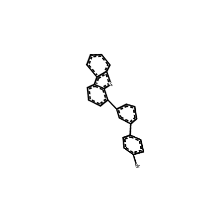 Brc1ccc(-c2cccc(-c3cccc4c3sc3ccccc34)c2)cc1